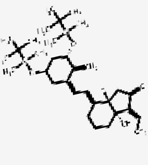 C=C1C(=CC=C2CCC[C@]3(C)/C(=C\C)C(=O)C[C@@H]23)C[C@@H](O[Si](C)(C)C(C)(C)C)C[C@@H]1O[Si](C)(C)C(C)(C)C